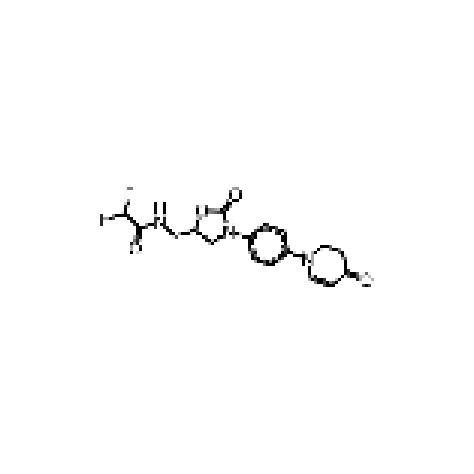 O=C1C=CN(c2ccc(N3CC(CNC(=O)C(F)F)OC3=O)cc2)CC1